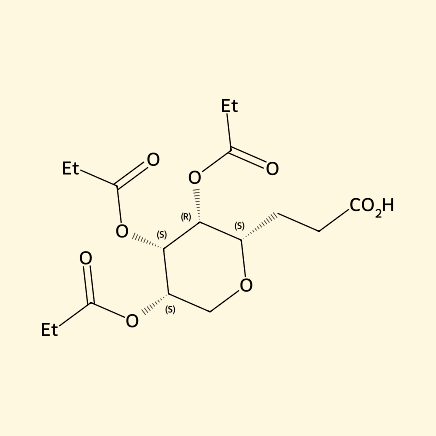 CCC(=O)O[C@@H]1[C@H](OC(=O)CC)[C@H](CCC(=O)O)OC[C@@H]1OC(=O)CC